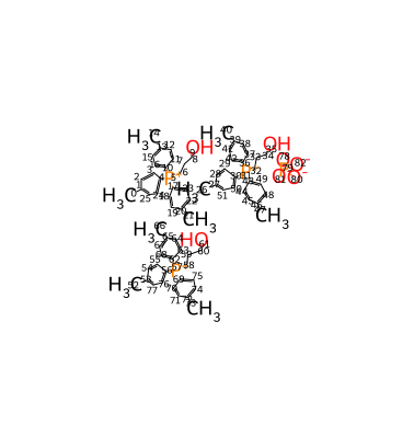 Cc1ccc([P+](CCCO)(c2ccc(C)cc2)c2ccc(C)cc2)cc1.Cc1ccc([P+](CCCO)(c2ccc(C)cc2)c2ccc(C)cc2)cc1.Cc1ccc([P+](CCCO)(c2ccc(C)cc2)c2ccc(C)cc2)cc1.O=P([O-])([O-])[O-]